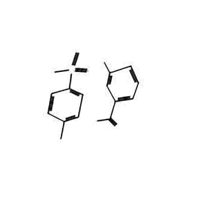 Cc1ccc(S(=O)(=O)Cl)cc1.Cc1cccc(C(=O)O)c1